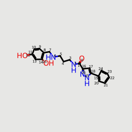 O=C(NCCCNCc1ccc(O)cc1O)c1cc(-c2ccccc2)[nH]n1